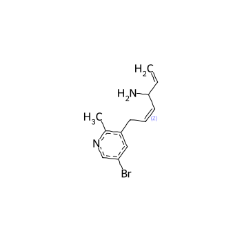 C=CC(N)/C=C\Cc1cc(Br)cnc1C